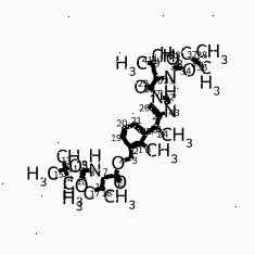 Cc1c(COC(=O)C(NC(=O)OC(C)(C)C)C(C)C)cccc1[C@H](C)c1cn(C(=O)C(NC(=O)OC(C)(C)C)C(C)C)cn1